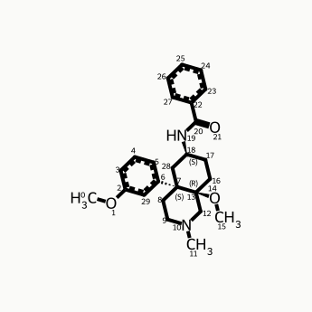 COc1cccc([C@@]23CCN(C)C[C@@]2(OC)CC[C@H](NC(=O)c2ccccc2)C3)c1